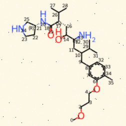 COCCCOc1cc(CC(C[C@H](N)C(O)C[C@H](C(=O)N[C@@H]2CCNC2)C(C)C)C(C)C)ccc1C